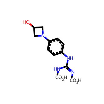 O=C(O)N=C(NC(=O)O)Nc1ccc(N2CC(O)C2)cc1